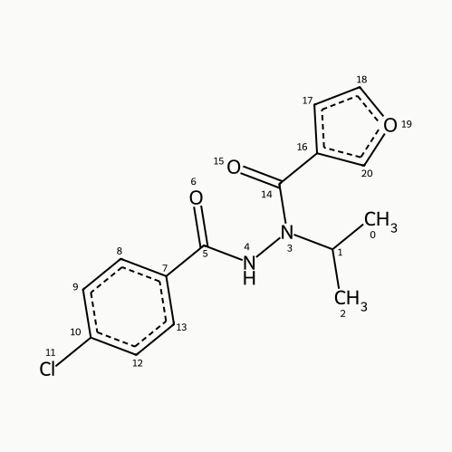 CC(C)N(NC(=O)c1ccc(Cl)cc1)C(=O)c1ccoc1